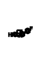 Fc1ccc(C2CCN(CC3CNCC3C(F)(F)F)CC2)cc1